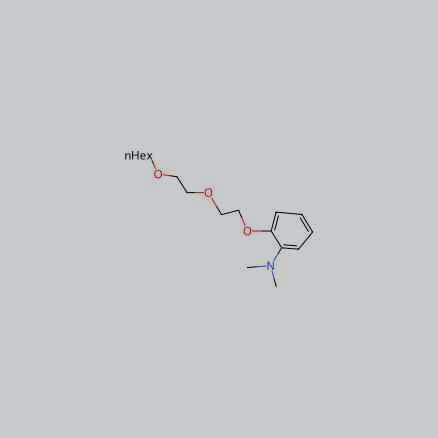 CCCCCCOCCOCCOc1ccccc1N(C)C